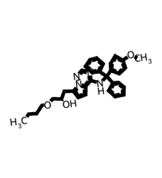 CCCCOC[C@@H](O)Cc1ccc2c(NC(c3ccccc3)(c3ccccc3)c3ccc(OC)cc3)ncnn12